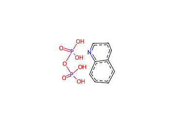 O=P(O)(O)OP(=O)(O)O.c1ccc2ncccc2c1